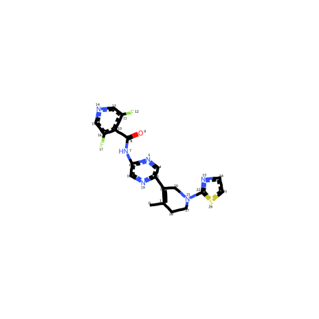 CC1=C(c2cnc(NC(=O)c3c(F)cncc3F)cn2)CN(c2nccs2)CC1